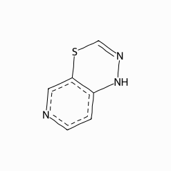 C1=NNc2ccncc2S1